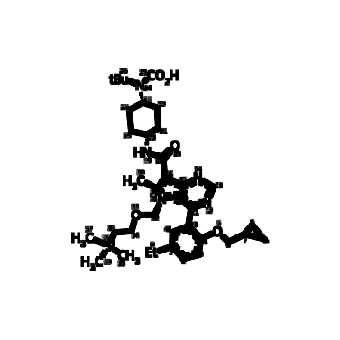 CCc1ccc(OCC2CC2)c(-c2ncnc3c(C(=O)N[C@H]4CC[C@@H](N(C(=O)O)C(C)(C)C)CC4)c(C)n(COCC[Si](C)(C)C)c23)c1